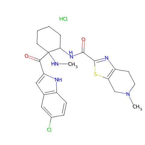 CNC1(C(=O)c2cc3cc(Cl)ccc3[nH]2)CCCCC1NC(=O)c1nc2c(s1)CN(C)CC2.Cl